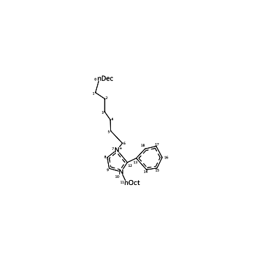 CCCCCCCCCCCCCCCC[n+]1ccn(CCCCCCCC)c1-c1ccccc1